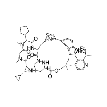 CCn1c(-c2cccnc2[C@H](C)OC)c2c3cc(ccc31)-c1csc(n1)C[C@H](NC(=O)[C@H](C1CCCC1)N(C)C(=O)CN(C)C(=O)[C@@H]1N[C@@H]1C1CC1)C(=O)N1CCC[C@H](N1)C(=O)OCC(C)(C)C2